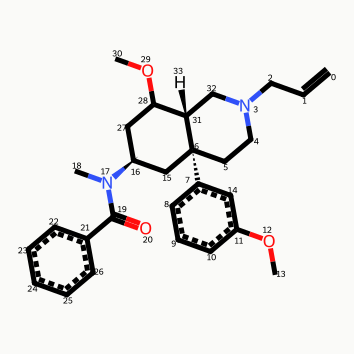 C=CCN1CC[C@@]2(c3cccc(OC)c3)C[C@@H](N(C)C(=O)c3ccccc3)CC(OC)[C@@H]2C1